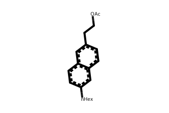 CCCCCCc1ccc2cc(CCOC(C)=O)ccc2c1